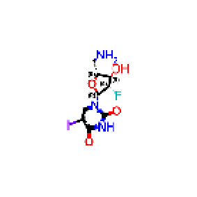 NC[C@H]1O[C@@H](n2cc(I)c(=O)[nH]c2=O)[C@@H](F)[C@@H]1O